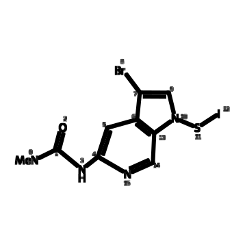 CNC(=O)Nc1cc2c(Br)cn(SI)c2cn1